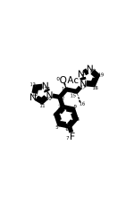 CC(=O)O[C@@H](C(c1ccc(F)cc1)n1cncn1)[C@@H](C)n1ccnn1